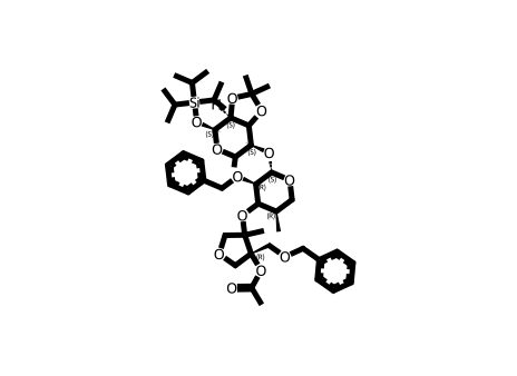 CC(=O)O[C@]1(COCc2ccccc2)COCC1(C)OC1[C@H](C)CO[C@@H](O[C@H]2C(C)O[C@@H](O[Si](C(C)C)(C(C)C)C(C)C)[C@H]3OC(C)(C)OC23)[C@@H]1OCc1ccccc1